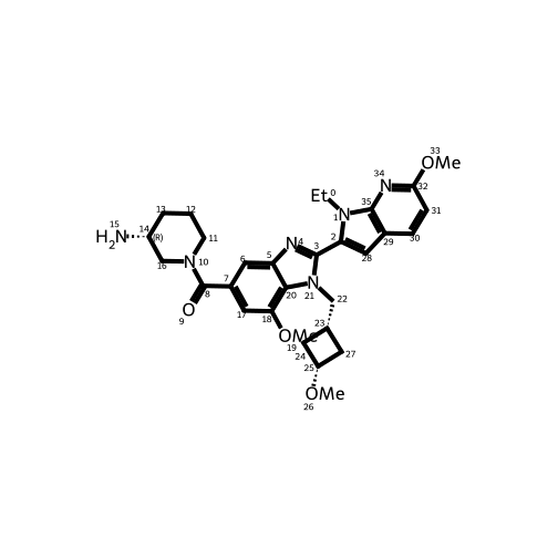 CCn1c(-c2nc3cc(C(=O)N4CCC[C@@H](N)C4)cc(OC)c3n2C[C@H]2C[C@@H](OC)C2)cc2ccc(OC)nc21